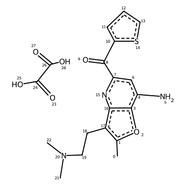 Cc1oc2c(N)cc(C(=O)c3cccs3)nc2c1CCN(C)C.O=C(O)C(=O)O